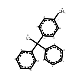 [CH2]CC(c1ccccc1)(c1ccccc1)c1ccc(C)cc1